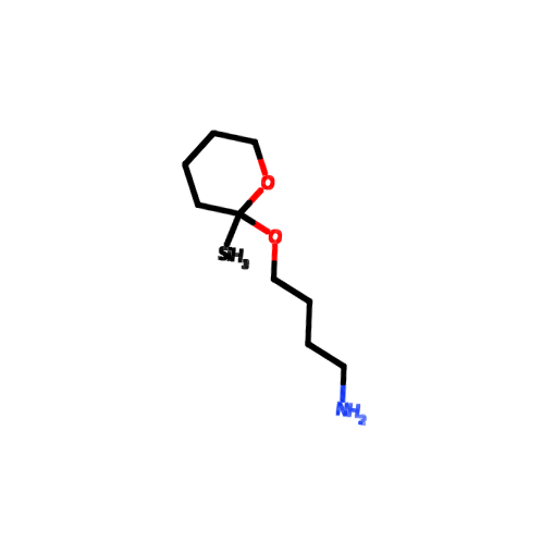 NCCCCOC1([SiH3])CCCCO1